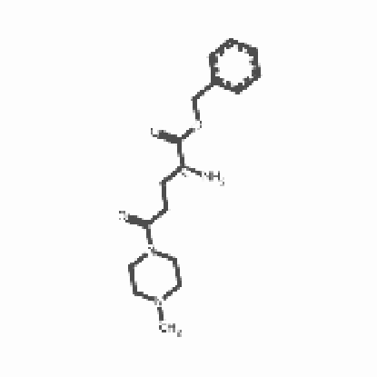 CN1CCN(C(=O)CC[C@H](N)C(=O)OCc2ccccc2)CC1